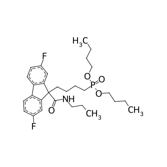 CCCCOP(=O)(CCCCC1(C(=O)NCCC)c2cc(F)ccc2-c2ccc(F)cc21)OCCCC